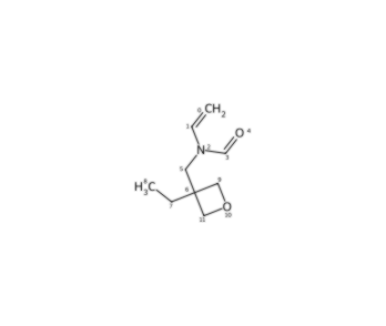 C=CN(C=O)CC1(CC)COC1